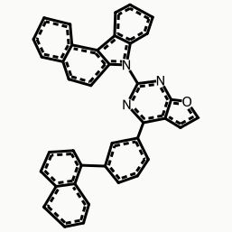 c1cc(-c2cccc3ccccc23)cc(-c2nc(-n3c4ccccc4c4c5ccccc5ccc43)nc3occc23)c1